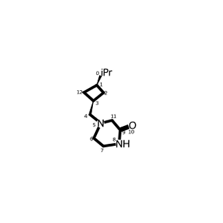 CC(C)[C@H]1C[C@@H](CN2CCNC(=O)C2)C1